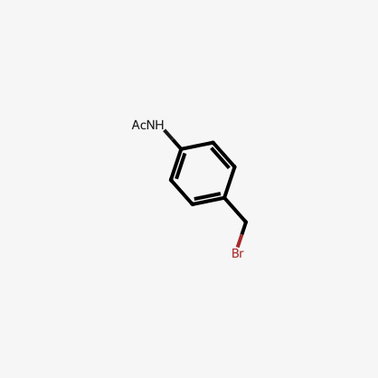 CC(=O)Nc1ccc(CBr)cc1